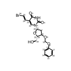 O=c1[nH]c(=O)n([C@@H]2CC(OCOc3ccccc3)[C@H](CO)O2)cc1C=CBr